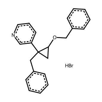 Br.c1ccc(COC2CC2(Cc2ccccc2)c2cccnc2)cc1